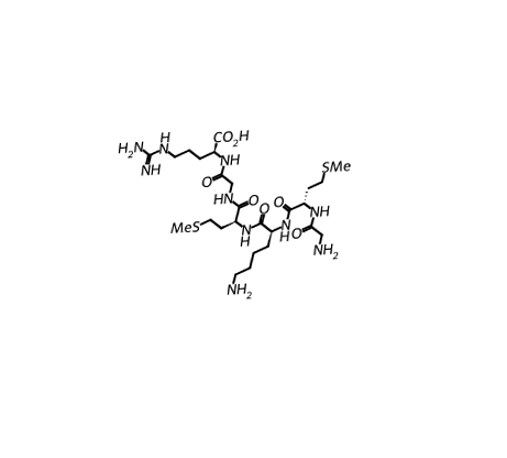 CSCC[C@H](NC(=O)CN)C(=O)N[C@@H](CCCCN)C(=O)N[C@@H](CCSC)C(=O)NCC(=O)N[C@@H](CCCNC(=N)N)C(=O)O